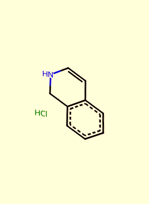 C1=Cc2ccccc2CN1.Cl